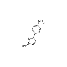 CC(C)n1ccc(-c2ccc([N+](=O)[O-])cc2)n1